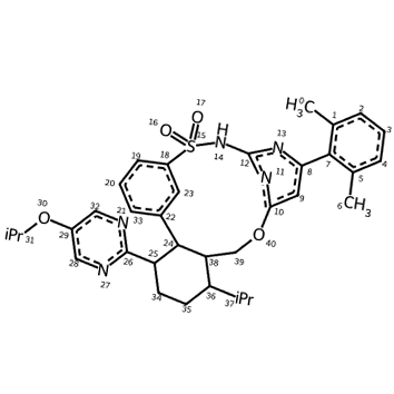 Cc1cccc(C)c1-c1cc2nc(n1)NS(=O)(=O)c1cccc(c1)C1C(c3ncc(OC(C)C)cn3)CCC(C(C)C)C1CO2